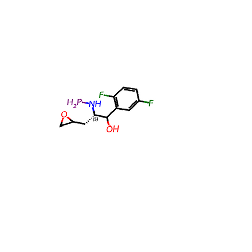 OC(c1cc(F)ccc1F)[C@H](CC1CO1)NP